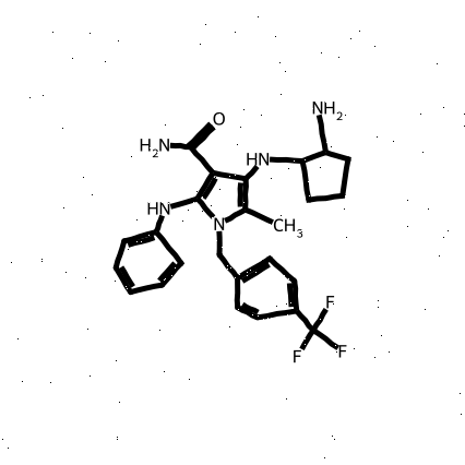 Cc1c(NC2CCCC2N)c(C(N)=O)c(Nc2ccccc2)n1Cc1ccc(C(F)(F)F)cc1